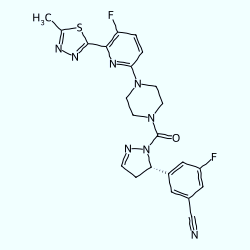 Cc1nnc(-c2nc(N3CCN(C(=O)N4N=CC[C@H]4c4cc(F)cc(C#N)c4)CC3)ccc2F)s1